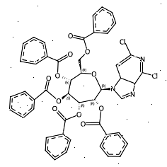 O=C(OC[C@H]1O[C@@H](N2C=NC3C(Cl)=NC(Cl)=CC32)[C@H](OC(=O)c2ccccc2)[C@H](OC(=O)c2ccccc2)[C@@H](OC(=O)c2ccccc2)[C@@H]1OC(=O)c1ccccc1)c1ccccc1